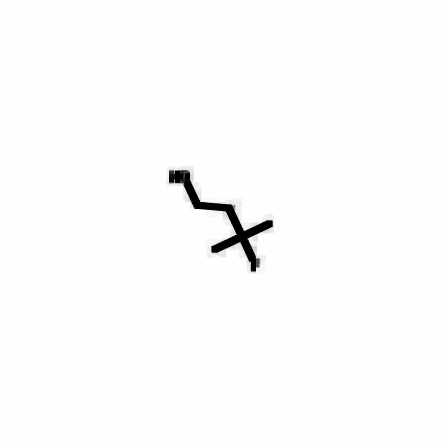 CC(C)(F)[CH]CO